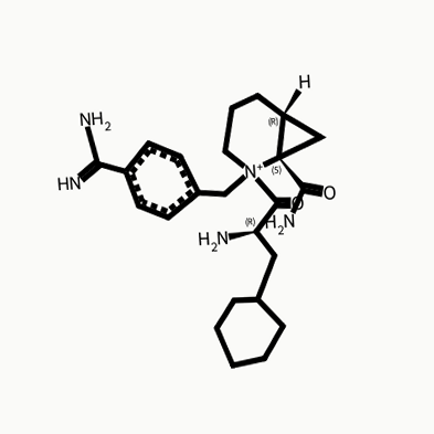 N=C(N)c1ccc(C[N+]2(C(=O)[C@H](N)CC3CCCCC3)CCC[C@@H]3C[C@@]32C(N)=O)cc1